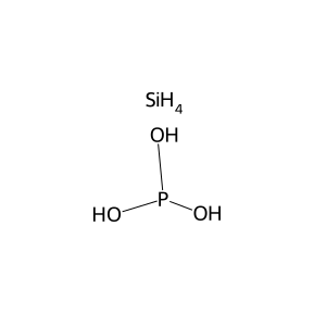 OP(O)O.[SiH4]